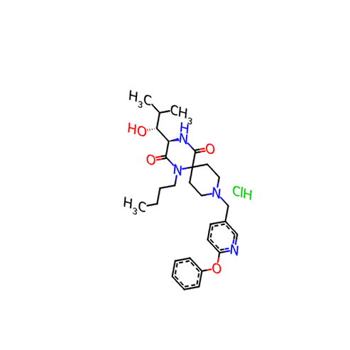 CCCCN1C(=O)[C@@H]([C@H](O)C(C)C)NC(=O)C12CCN(Cc1ccc(Oc3ccccc3)nc1)CC2.Cl